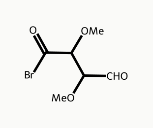 COC(C=O)C(OC)C(=O)Br